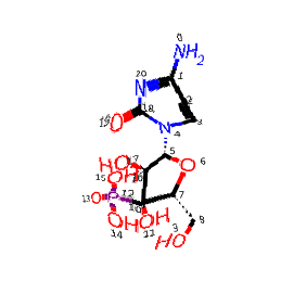 Nc1ccn([C@@H]2O[C@H](CO)[C@](O)(P(=O)(O)O)[C@H]2O)c(=O)n1